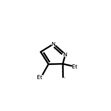 [CH2]C1(CC)N=NC=C1CC